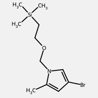 Cc1cc(Br)cn1COCC[Si](C)(C)C